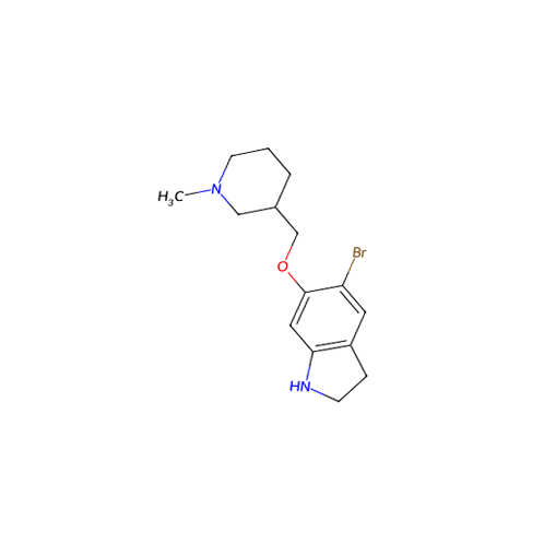 CN1CCCC(COc2cc3c(cc2Br)CCN3)C1